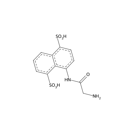 NCC(=O)Nc1ccc(S(=O)(=O)O)c2cccc(S(=O)(=O)O)c12